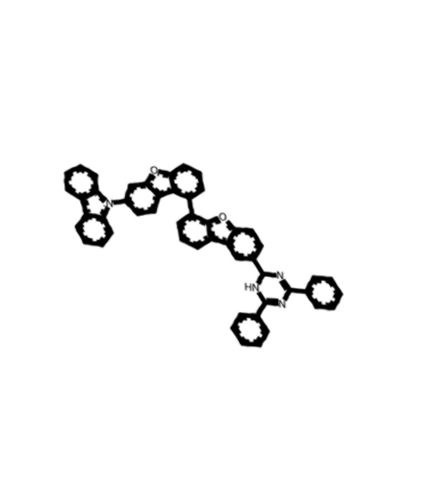 c1ccc(C2=NC(c3ccc4oc5c(-c6cccc7oc8cc(-n9c%10ccccc%10c%10ccccc%109)ccc8c67)cccc5c4c3)NC(c3ccccc3)=N2)cc1